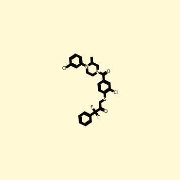 CC1CN(C(=O)c2ccc(SCC(=O)C(F)(F)c3ccccc3)c(Cl)c2)CCN1c1cccc(Cl)c1